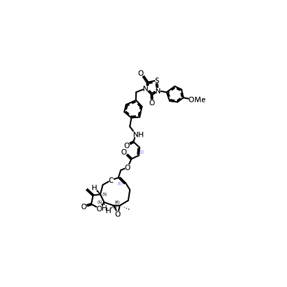 C=C1C(=O)O[C@H]2[C@H]1CC/C(COC(=O)/C=C\C(=O)NCc1ccc(Cn3c(=O)sn(-c4ccc(OC)cc4)c3=O)cc1)=C\CC[C@@]1(C)O[C@@H]21